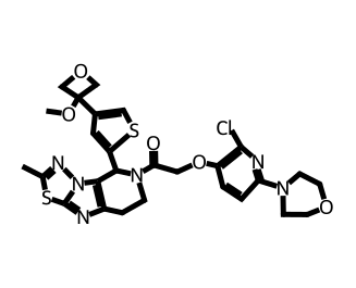 COC1(c2csc(C3c4c(nc5sc(C)nn45)CCN3C(=O)COc3ccc(N4CCOCC4)nc3Cl)c2)COC1